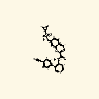 N#Cc1ccc(-c2cnccc2NC(=O)c2ncc3ccc(NS(=O)(=O)C4CC4)cc3n2)cc1